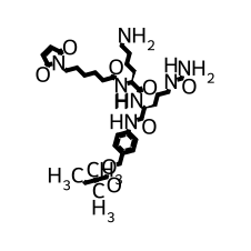 CCC(C)(C)C(=O)OCc1ccc(NC(=O)[C@H](CCCNC(N)=O)NC(=O)[C@H](CCCCN)NC(=O)CCCCCN2C(=O)C=CC2=O)cc1